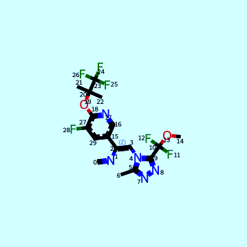 C=N/C(=C\n1c(C)nnc1C(F)(F)OC)c1cnc(OC(C)(C)C(F)(F)F)c(F)c1